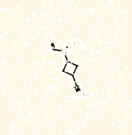 C#CC1CC(N(C)C=O)C1